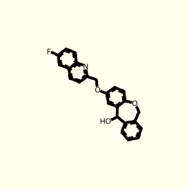 OC1c2ccccc2COc2ccc(OCc3ccc4cc(F)ccc4n3)cc21